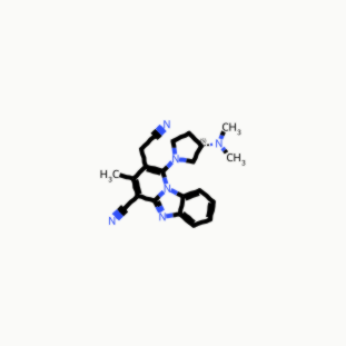 Cc1c(CC#N)c(N2CC[C@H](N(C)C)C2)n2c(nc3ccccc32)c1C#N